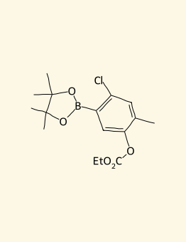 CCOC(=O)Oc1cc(B2OC(C)(C)C(C)(C)O2)c(Cl)cc1C